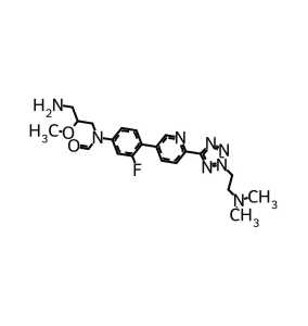 COC(CN)CN(C=O)c1ccc(-c2ccc(-c3nnn(CCN(C)C)n3)nc2)c(F)c1